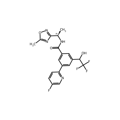 Cc1nc([C@@H](C)NC(=O)c2cc(-c3ccc(F)cn3)cc(C(O)C(F)(F)F)c2)no1